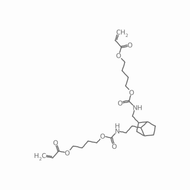 C=CC(=O)OCCCCOC(=O)NCCC1C2CCC1C(CNC(=O)OCCCCOC(=O)C=C)C2